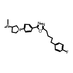 CN(C)C1CCN(c2ccc(-c3nnc(CCCCc4ccc(F)cc4)o3)cc2)C1